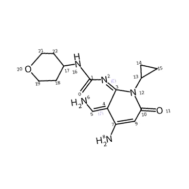 C=C(/N=C1\C(=C/N)C(N)=CC(=O)N1C1CC1)NC1CCOCC1